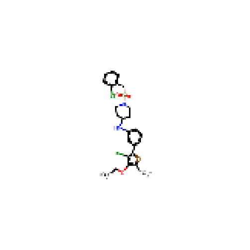 O=C(O)COc1c(C(=O)O)sc(-c2cccc(NC3CCN(S(=O)(=O)Cc4ccccc4Cl)CC3)c2)c1Br